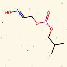 CC(C)CO[PH](=O)OCC=NO